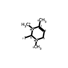 CC1=CCN(C)C(I)N1C